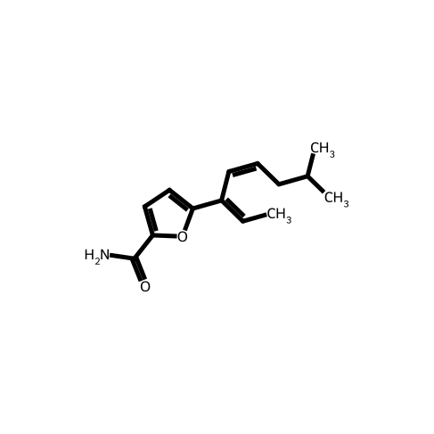 C/C=C(\C=C/CC(C)C)c1ccc(C(N)=O)o1